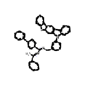 N/C(=N\C(=N/Cc1cccc(-n2c3ccccc3c3cc4c(cc32)sc2ccccc24)c1)c1ccc(-c2ccccc2)cc1)c1ccccc1